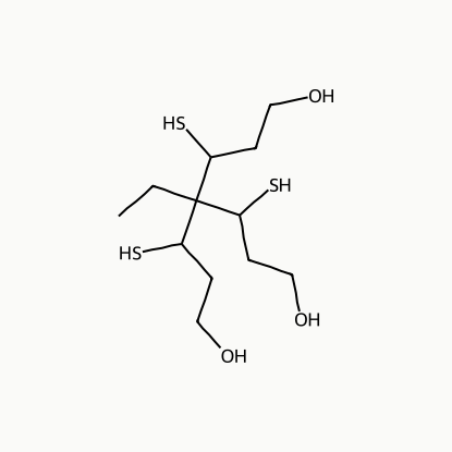 CCC(C(S)CCO)(C(S)CCO)C(S)CCO